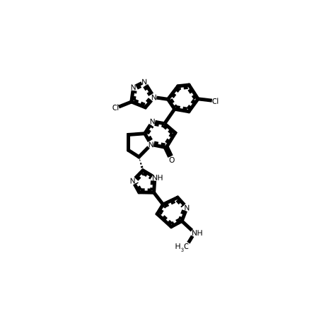 CNc1ccc(-c2cnc([C@@H]3CCc4nc(-c5cc(Cl)ccc5-n5cc(Cl)nn5)cc(=O)n43)[nH]2)cn1